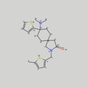 Cc1ccc(CN2CC3(CCC(c4cccs4)(N(C)C)CC3)CC2=O)s1